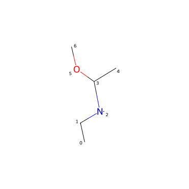 CC[N]C(C)OC